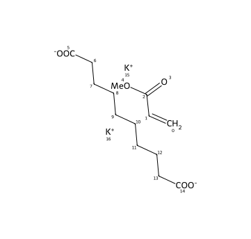 C=CC(=O)OC.O=C([O-])CCCCCCCCC(=O)[O-].[K+].[K+]